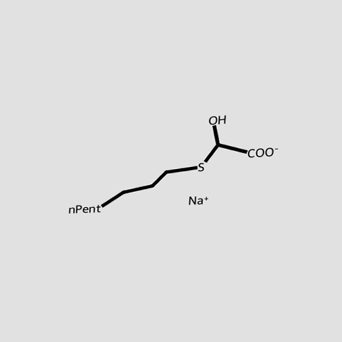 CCCCCCCCSC(O)C(=O)[O-].[Na+]